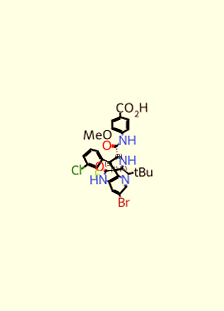 COc1cc(C(=O)O)ccc1NC(=O)[C@@H]1N[C@@H](CC(C)(C)C)[C@@]2(C(=O)Nc3cc(Br)cnc32)[C@H]1c1cccc(Cl)c1F